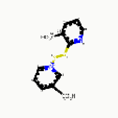 O=C(O)c1ccc[n+](SSc2ncccc2C(=O)O)c1